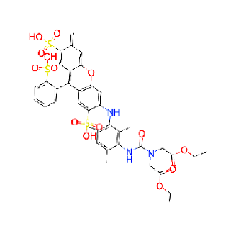 C=c1cc2c(cc1S(=O)(=O)O)=C(c1ccccc1S(=O)(=O)O)c1cc(S(=O)(=O)O)c(Nc3c(C)cc(C)c(NC(=O)N(CC(=O)OCC)CC(=O)OCC)c3C)cc1O2